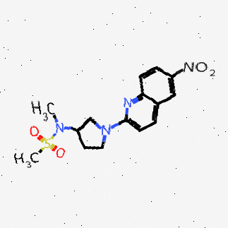 CN(C1CCN(c2ccc3cc([N+](=O)[O-])ccc3n2)C1)S(C)(=O)=O